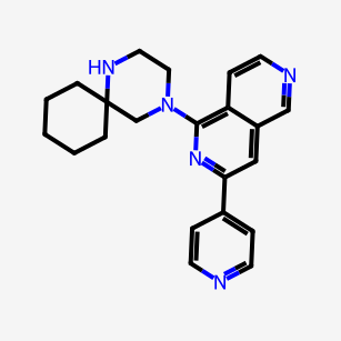 c1cc(-c2cc3cnccc3c(N3CCNC4(CCCCC4)C3)n2)ccn1